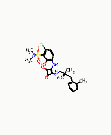 Cc1ccccc1CC(C)(C)CNc1c(Nc2ccc(Cl)c(S(=O)(=O)N(C)C)c2O)c(=O)c1=O